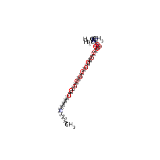 CCCCCCCC/C=C\CCCCCCCCOCCOCCOCCOCCOCCOCCOCCOCCOCCOCCOP(=O)([O-])OCC[N+](C)(C)C